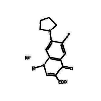 CCn1cc(C(=O)[O-])c(=O)c2cc(F)c(N3CCCC3)cc21.[Na+]